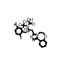 CC(C)(C)N(C(=O)O)[C@H](Cc1cc(F)ccc1F)Cc1nnc2n1CCOc1ccccc1-2